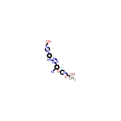 C[C@H](O)C(=O)CN1CC[C@H](Oc2ccc(-c3ncnc(Nc4ccc(N5CCN(CCO)CC5)cc4)n3)cc2C#N)[C@H](F)C1